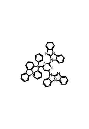 c1ccc([Si](c2ccccc2)(c2cc(-n3c4ccccc4n4c5ccccc5nc34)nc(-n3c4ccccc4n4c5ccccc5nc34)n2)c2cccc3c2sc2ccccc23)cc1